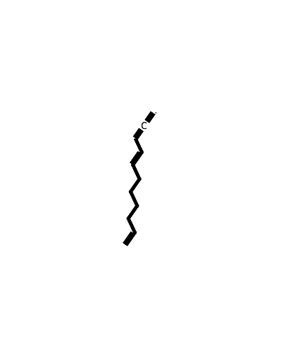 [CH]=C=CC=CCCCCC=C